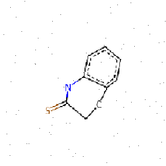 S=C1CCc2ccccc2[N]1